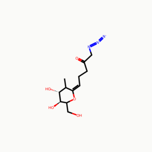 CC1/C(=C\CCC(=O)CN=[N+]=[N-])OC(CO)[C@@H](O)[C@@H]1O